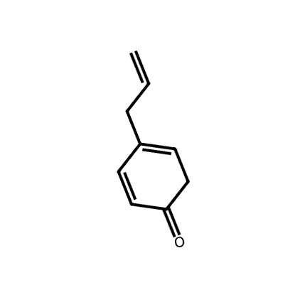 C=CCC1=CCC(=O)C=C1